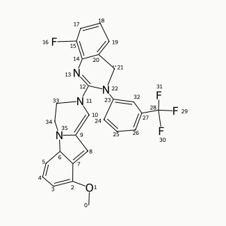 COC1=CC=CC2C1=CC1=CN(C3=Nc4c(F)cccc4[C]N3c3cccc(C(F)(F)F)c3)CCN12